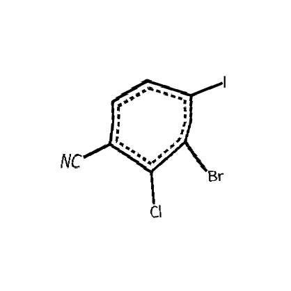 N#Cc1ccc(I)c(Br)c1Cl